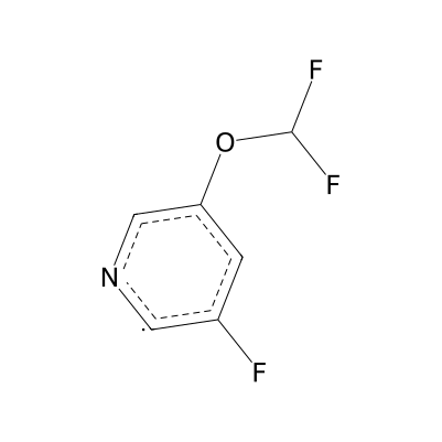 Fc1[c]ncc(OC(F)F)c1